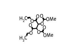 C=COC(=O)C(OC(=O)OC)C(OC(=O)OC)C(=O)OC=C